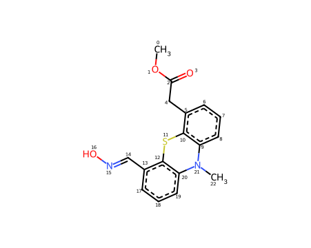 COC(=O)Cc1cccc2c1Sc1c(C=NO)cccc1N2C